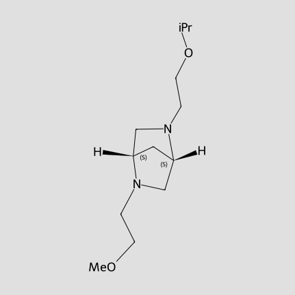 COCCN1C[C@@H]2C[C@H]1CN2CCOC(C)C